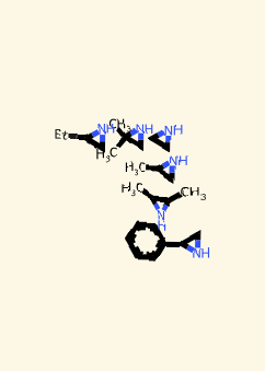 C1CN1.CC1(C)CN1.CC1CN1.CC1NC1C.CCC1CN1.c1ccc(C2CN2)cc1